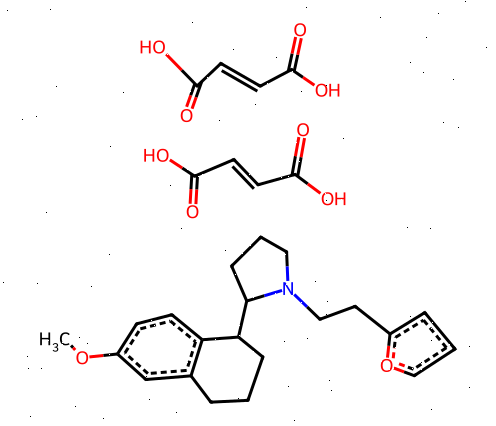 COc1ccc2c(c1)CCCC2C1CCCN1CCc1ccco1.O=C(O)/C=C/C(=O)O.O=C(O)/C=C/C(=O)O